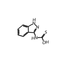 OC(=S)Nc1n[nH]c2ccccc12